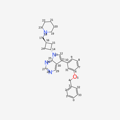 c1ccc(COc2cccc(-c3cn([C@H]4C[C@H](CN5CCCCC5)C4)c4ncncc34)c2)cc1